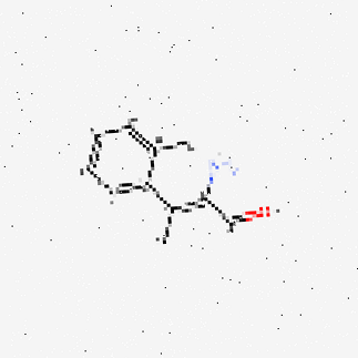 CC(=C(N)C=O)c1ccccc1C